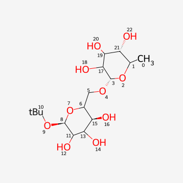 CC1O[C@H](OCC2O[C@H](OC(C)(C)C)C(O)C(O)[C@@H]2O)C(O)C(O)[C@@H]1O